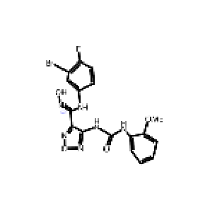 COc1ccccc1NC(=O)Nc1nonc1/C(=N/O)Nc1ccc(F)c(Br)c1